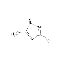 CC1=NC(Cl)=[N+]N1